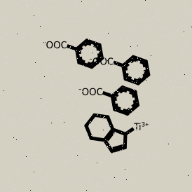 O=C([O-])c1ccccc1.O=C([O-])c1ccccc1.O=C([O-])c1ccccc1.[Ti+3][CH]1C=CC2=C1CCCC2